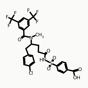 CN(C(=O)c1cc(C(F)(F)F)cc(C(F)(F)F)c1)C(CCC(=O)NS(=O)(=O)c1ccc(C(=O)O)cc1)Cc1ccc(Cl)cc1